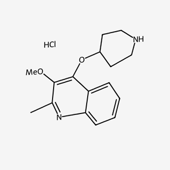 COc1c(C)nc2ccccc2c1OC1CCNCC1.Cl